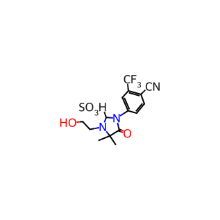 CC1(C)C(=O)N(c2ccc(C#N)c(C(F)(F)F)c2)C(S(=O)(=O)O)N1CCO